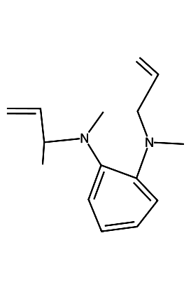 C=CCN(C)c1ccccc1N(C)C(C)C=C